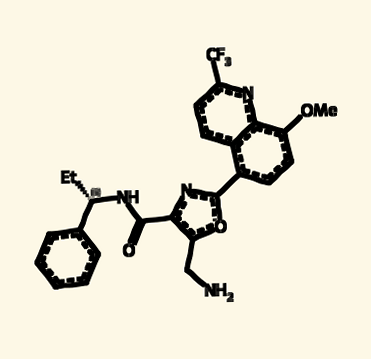 CC[C@H](NC(=O)c1nc(-c2ccc(OC)c3nc(C(F)(F)F)ccc23)oc1CN)c1ccccc1